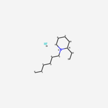 CCCCCCN1CCCCC1CC.F